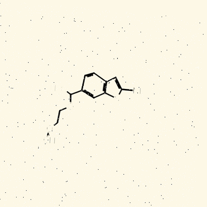 COCCOC(C)c1ccc2cc(N)sc2c1